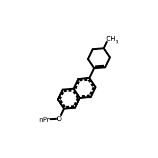 CCCOc1ccc2cc(C3=CCC(C)CC3)ccc2c1